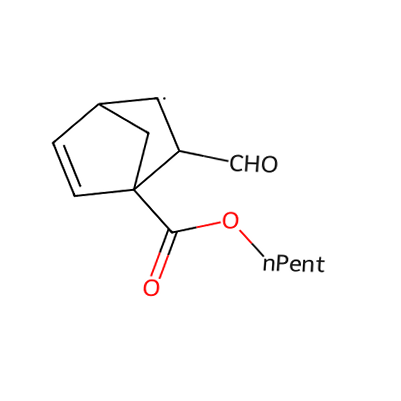 CCCCCOC(=O)C12C=CC([CH]C1C=O)C2